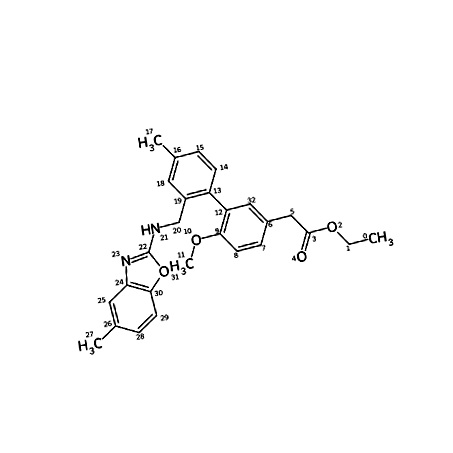 CCOC(=O)Cc1ccc(OC)c(-c2ccc(C)cc2CNc2nc3cc(C)ccc3o2)c1